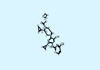 N#Cc1ccnc(Nc2cc(C#N)c(N3CCN(C(=O)C[C@H]4CCO4)[C@H](C4CC4)C3)nc2C2CC2)n1